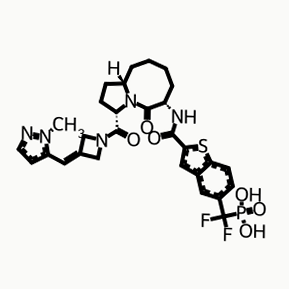 Cn1nccc1C=C1CN(C(=O)[C@@H]2CC[C@@H]3CCCC[C@H](NC(=O)c4cc5cc(C(F)(F)P(=O)(O)O)ccc5s4)C(=O)N32)C1